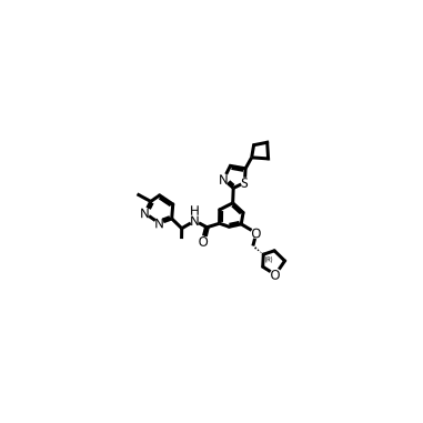 Cc1ccc(C(C)NC(=O)c2cc(OC[C@@H]3CCOC3)cc(-c3ncc(C4CCC4)s3)c2)nn1